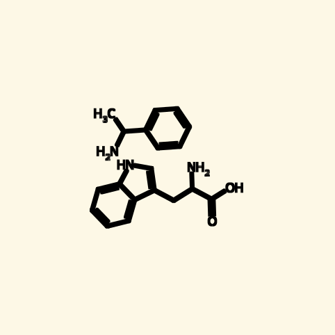 CC(N)c1ccccc1.NC(Cc1c[nH]c2ccccc12)C(=O)O